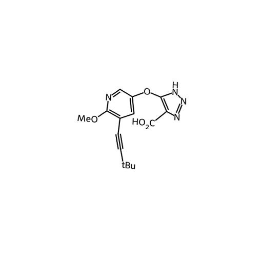 COc1ncc(Oc2[nH]nnc2C(=O)O)cc1C#CC(C)(C)C